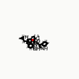 CO[C@]12CC[C@@]3(C[C@@H]1CNC(=O)c1c[nH]c4ccccc14)[C@H]1Cc4ccc(O)c5c4[C@@]3(CCN1CC1CC1)[C@H]2O5